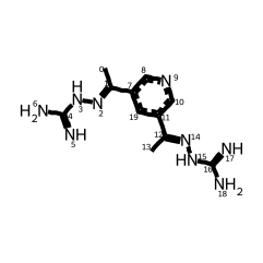 CC(=NNC(=N)N)c1cncc(C(C)=NNC(=N)N)c1